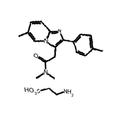 Cc1ccc(-c2nc3ccc(C)cn3c2CC(=O)N(C)C)cc1.NCCS(=O)(=O)O